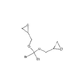 CCC(Br)(OCC1CO1)OCC1CO1